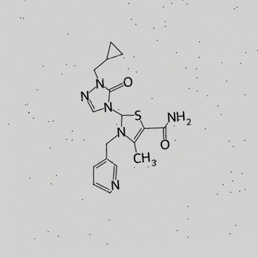 CC1=C(C(N)=O)SC(n2cnn(CC3CC3)c2=O)N1Cc1cccnc1